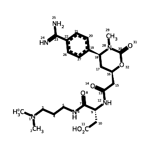 CN(C)CCCNC(=O)[C@@H](CC(=O)O)NC(=O)C[C@H]1C[C@@H](c2ccc(C(=N)N)cc2)N(C)C(=O)O1